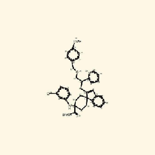 COC(=O)C1(Nc2cccc(Cl)c2)CCC2(CC1)C(CC(COCc1ccc(OC)cc1)c1ccccn1)=Cc1ccccc12